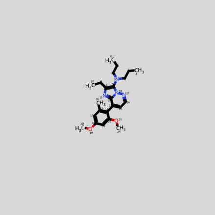 CCCN(CCC)c1c(CC)nc2c(-c3c(C)cc(OC)cc3OC)ccnn12